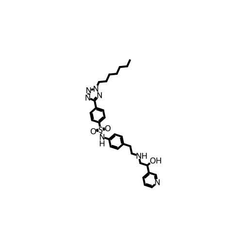 CCCCCCCn1nnc(-c2ccc(S(=O)(=O)Nc3ccc(CCNCC(O)c4cccnc4)cc3)cc2)n1